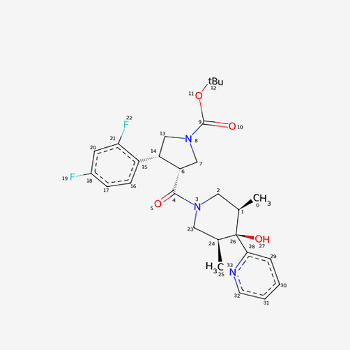 C[C@@H]1CN(C(=O)[C@H]2CN(C(=O)OC(C)(C)C)C[C@H]2c2ccc(F)cc2F)C[C@H](C)[C@@]1(O)c1ccccn1